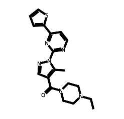 CCN1CCN(C(=O)c2cnn(-c3nccc(-c4cccs4)n3)c2C)CC1